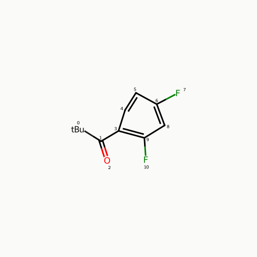 CC(C)(C)C(=O)c1ccc(F)cc1F